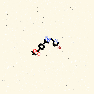 CC(C)(C)OC(=O)c1ccc(-c2cnn(Cc3ccc(Br)cn3)c2)cc1